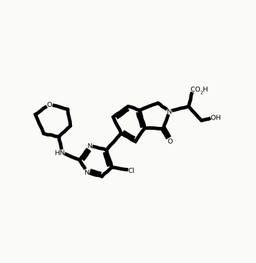 O=C(O)C(CO)N1Cc2ccc(-c3nc(NC4CCOCC4)ncc3Cl)cc2C1=O